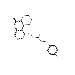 COc1ccc(OCC(O)COc2cccc3oc(=O)c4c(c23)CCCC4)cc1